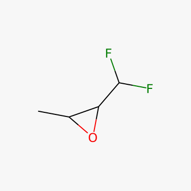 CC1OC1C(F)F